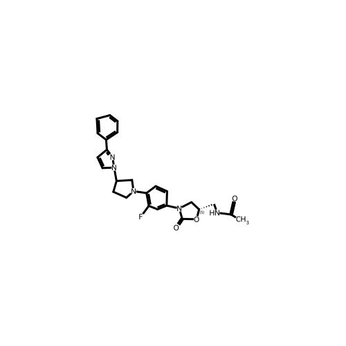 CC(=O)NC[C@H]1CN(c2ccc(N3CCC(n4ccc(-c5ccccc5)n4)C3)c(F)c2)C(=O)O1